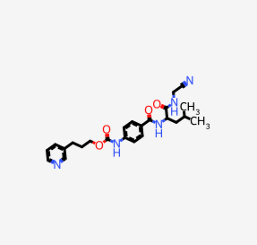 CC(C)CC(NC(=O)c1ccc(NC(=O)OCCCc2cccnc2)cc1)C(=O)NCC#N